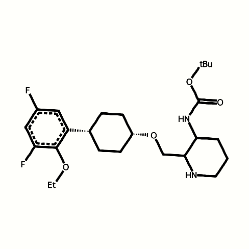 CCOc1c(F)cc(F)cc1[C@H]1CC[C@@H](OCC2NCCCC2NC(=O)OC(C)(C)C)CC1